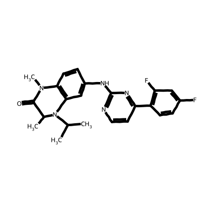 CC(C)N1c2cc(Nc3nccc(-c4ccc(F)cc4F)n3)ccc2N(C)C(=O)C1C